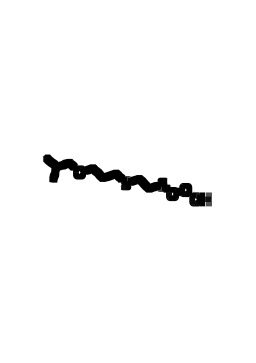 CC(C)COCCCSCCSOOO